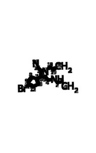 C=CCNCC1C(c2ccc(Br)cc2)C(C#N)N1CC=C